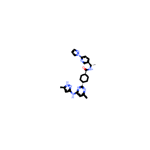 Cc1cc(Nc2cc(C)[nH]n2)nc([C@H]2CC[C@H](C(=O)N[C@@H](C)c3ccc(-n4cccn4)nc3)CC2)n1